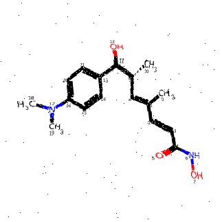 CC(/C=C/C(=O)NO)=C\[C@@H](C)C(O)c1ccc(N(C)C)cc1